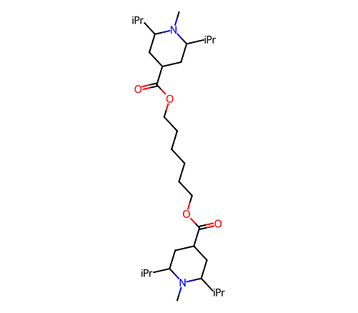 CC(C)C1CC(C(=O)OCCCCCCOC(=O)C2CC(C(C)C)N(C)C(C(C)C)C2)CC(C(C)C)N1C